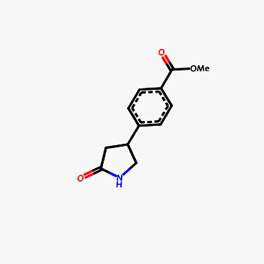 COC(=O)c1ccc(C2CNC(=O)C2)cc1